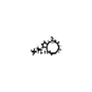 CC(C)(C)OC(=O)NC1CCC2CC(=O)CCCCCCCNCC21